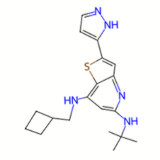 CC(C)(C)Nc1cc(NCC2CCC2)c2sc(-c3ccn[nH]3)cc2n1